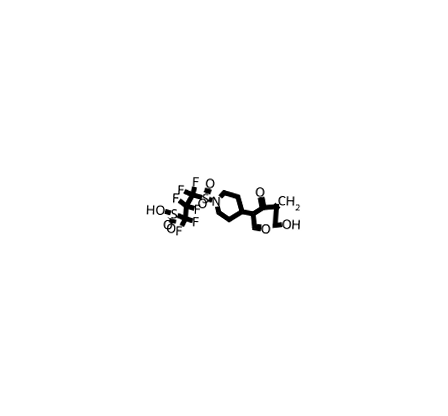 C=C(CO)C(=O)C(C=O)C1CCN(S(=O)(=O)C(F)(F)C(F)(F)C(F)(F)S(=O)(=O)O)CC1